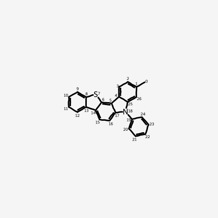 Cc1ccc2c3c4sc5ccccc5c4ccc3n(-c3ccccc3)c2c1